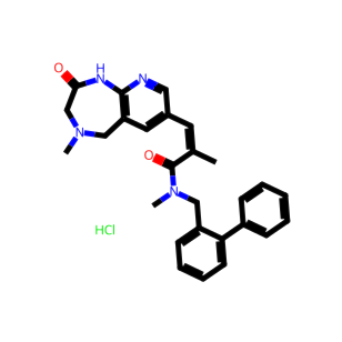 CC(=Cc1cnc2c(c1)CN(C)CC(=O)N2)C(=O)N(C)Cc1ccccc1-c1ccccc1.Cl